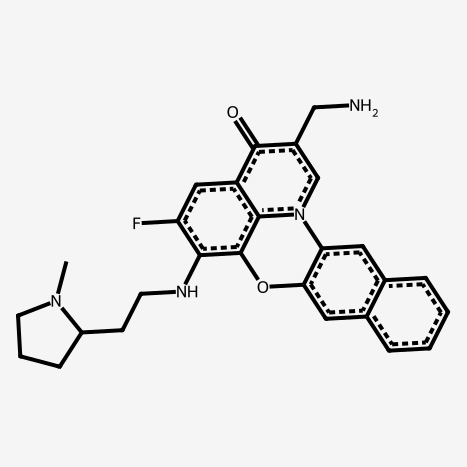 CN1CCCC1CCNc1c(F)cc2c(=O)c(CN)cn3c2c1Oc1cc2ccccc2cc1-3